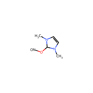 CN1C=CN(C)C1ON=O